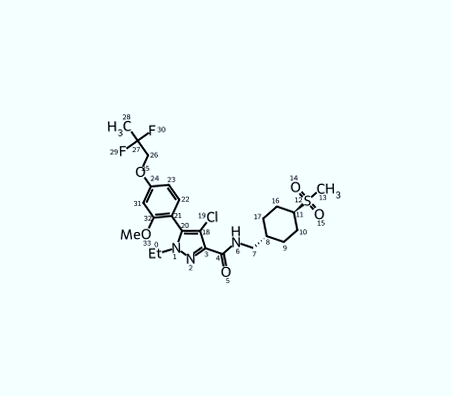 CCn1nc(C(=O)NC[C@H]2CC[C@H](S(C)(=O)=O)CC2)c(Cl)c1-c1ccc(OCC(C)(F)F)cc1OC